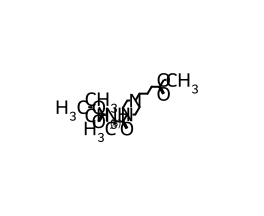 COC(=O)CCCN1CCN(C(=O)[C@H](C)NC(=O)OC(C)(C)C)CC1